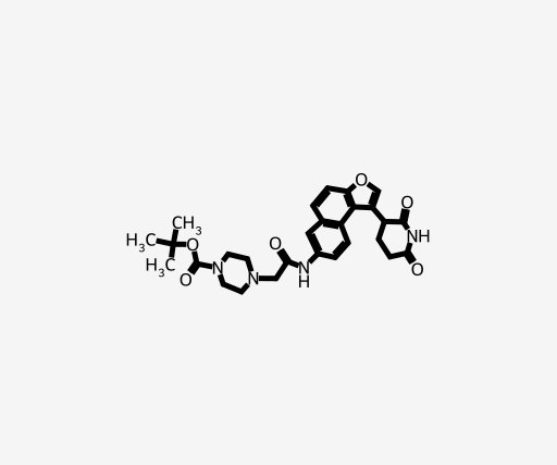 CC(C)(C)OC(=O)N1CCN(CC(=O)Nc2ccc3c(ccc4occ(C5CCC(=O)NC5=O)c43)c2)CC1